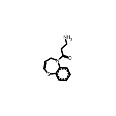 NCCC(=O)N1CC=CSc2ccccc21